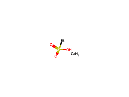 CCS(=O)(=O)O.[CaH2]